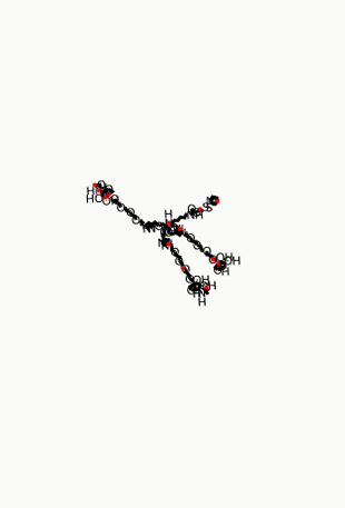 CC(=O)N[C@H]1[C@@H]2OC[C@](COCCOCCOCCOCCn3cc(COCC(COCc4cn(CCOCCOCCOCCOC[C@@]56CO[C@@H](O5)[C@H](NC(C)=O)[C@@H](O)[C@H]6O)nn4)(COCc4cn(CCOCCOCCOCCOC[C@]56CO[C@H](C[C@@H](O)[C@H]5O)O6)nn4)NC(=O)CCCCCNC(=O)OCCSSc4ccccn4)nn3)(O2)[C@H](O)[C@@H]1O